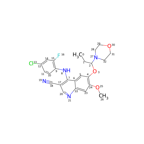 CCC(Oc1cc2c(Nc3ccc(Cl)cc3F)c(C#N)cnc2cc1OC)N1CCOCC1